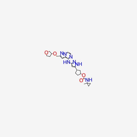 CC1(NC(=O)OC2CCC(c3cc(Nc4nccn5nc(COC6CCOC6)cc45)n[nH]3)C2)CC1